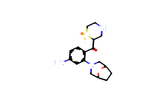 Nc1ccc(C(=O)C2CNCCS2(=O)=O)c(N2CC3CCC(C2)O3)c1